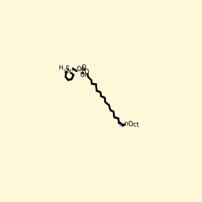 CCCCCCCC/C=C\CCCCCCCCCCCCCCOP(=O)(O)OCC[N+]1(C)CCCCC1